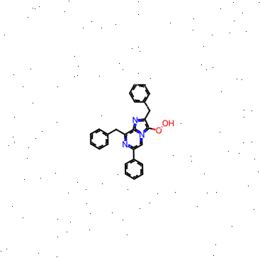 OOc1c(Cc2ccccc2)nc2c(Cc3ccccc3)nc(-c3ccccc3)cn12